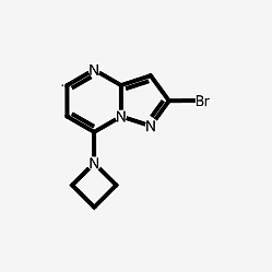 Brc1cc2n[c]cc(N3CCC3)n2n1